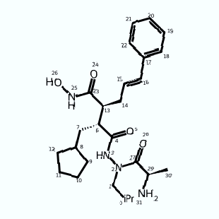 CC(C)CN(NC(=O)[C@H](CC1CCCC1)[C@H](CC=Cc1ccccc1)C(=O)NO)C(=O)[C@@H](C)N